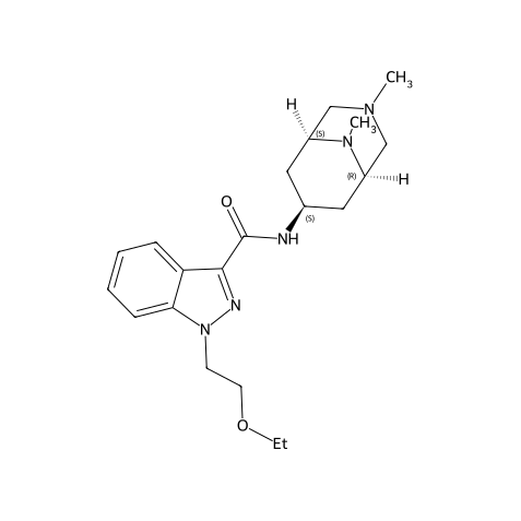 CCOCCn1nc(C(=O)N[C@@H]2C[C@@H]3CN(C)C[C@H](C2)N3C)c2ccccc21